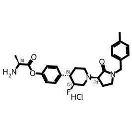 Cc1ccc(CN2CC[C@@H](N3CC[C@@H](c4ccc(OC(=O)[C@H](C)N)cc4)[C@H](F)C3)C2=O)cc1.Cl